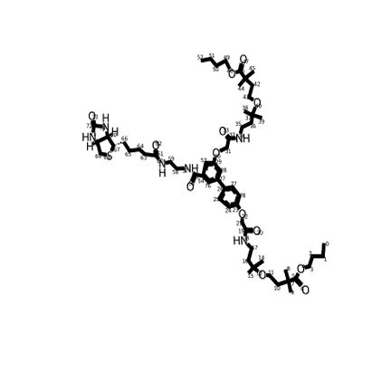 CCCCOC(=O)C(C)(C)CCOC(C)(C)CCNC(=O)COc1ccc(-c2cc(OCC(=O)NCCC(C)(C)OCCC(C)(C)C(=O)OCCCC)cc(C(=O)NCCNC(=O)CCCC[C@@H]3SC[C@@H]4NC(=O)N[C@@H]43)c2)cc1